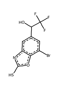 OC(c1cc(Br)c2oc(S)nc2c1)C(F)(F)F